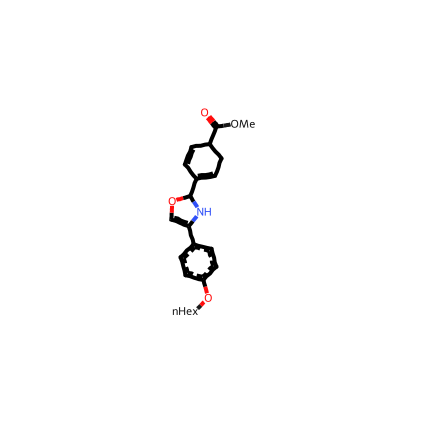 CCCCCCOc1ccc(C2=COC(C3=CCC(C(=O)OC)C=C3)N2)cc1